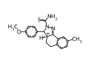 COc1ccc(C2[C@H]3CCc4ccc(C)cc4C3=NN2C(N)=S)cc1